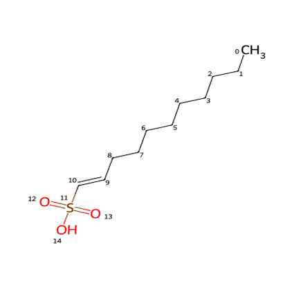 CCCCCCCCCC=CS(=O)(=O)O